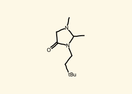 CC1N(C)CC(=O)N1CCC(C)(C)C